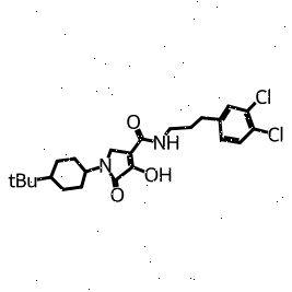 CC(C)(C)C1CCC(N2CC(C(=O)NCCCc3ccc(Cl)c(Cl)c3)=C(O)C2=O)CC1